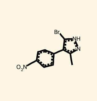 Cc1n[nH]c(Br)c1-c1ccc([N+](=O)[O-])cc1